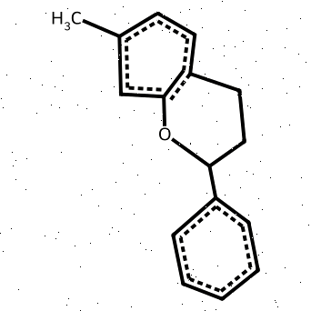 Cc1ccc2c(c1)OC(c1ccccc1)CC2